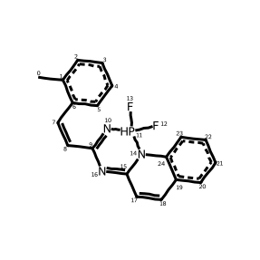 Cc1ccccc1/C=C\C1=N[PH](F)(F)N2C(=N1)C=Cc1ccccc12